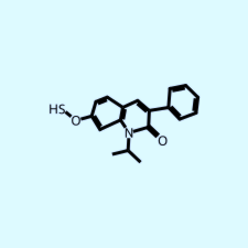 CC(C)n1c(=O)c(-c2ccccc2)cc2ccc(OS)cc21